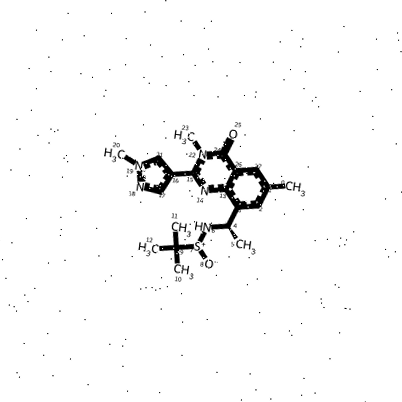 Cc1cc([C@@H](C)N[S+]([O-])C(C)(C)C)c2nc(-c3cnn(C)c3)n(C)c(=O)c2c1